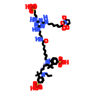 CCC[N+]1=C(/C=C/C=C2/N(CCCCCCCC(=O)NCCCNc3nc(NCCCCCC(=O)ON4C(=O)CCC4=O)nc(NCCCS(=O)(=O)O)n3)c3ccc(S(=O)(=O)O)cc3C2(C)C)C(C)(C)c2cc(S(=O)(=O)O)ccc21